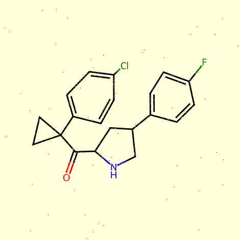 O=C(C1CC(c2ccc(F)cc2)CN1)C1(c2ccc(Cl)cc2)CC1